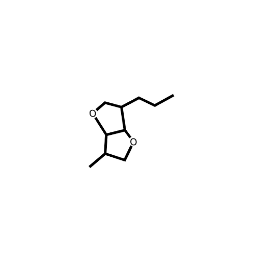 CCCC1COC2C(C)COC12